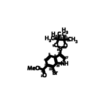 COC(=O)c1ccc2c(B3OC(C)(C)C(C)(C)O3)c[nH]c2c1Br